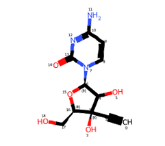 C#C[C@@]1(O)C(O)[C@H](n2ccc(N)nc2=O)O[C@@H]1CO